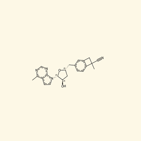 Cc1ncnc2c1ccn2[C@@H]1O[C@H](Cc2ccc3c(c2)CC3(C)C#N)C[C@H]1O